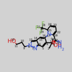 CC(C)(O)c1cc2nn(CCCO)cc2cc1N1C(C(N)=O)=CC=CC1C(F)(F)F